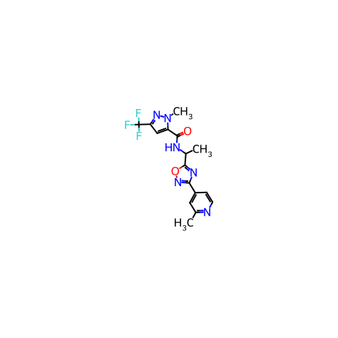 Cc1cc(-c2noc(C(C)NC(=O)c3cc(C(F)(F)F)nn3C)n2)ccn1